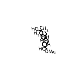 COC[C@]1(O)CC[C@H]2[C@H](CC[C@@H]3[C@@H]2CC[C@]2(C)[C@@H]([C@H](C)CO)CC[C@@H]32)C1